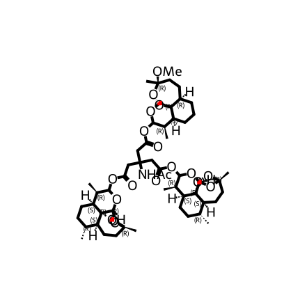 CO[C@@]1(C)CC[C@H]2CCC[C@H]3[C@@H](C)C(OC(=O)CC(CC(=O)OC4O[C@@H]5O[C@@]6(C)CC[C@H]7[C@H](C)CC[C@@H]([C@H]4C)[C@@]57OO6)(CC(=O)OC4O[C@@H]5O[C@@]6(C)CC[C@H]7[C@H](C)CC[C@@H]([C@H]4C)[C@@]57OO6)NC(C)=O)OC[C@@]23OO1